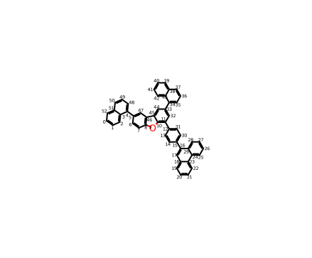 c1ccc2c(-c3ccc4oc5c(-c6ccc(-c7cc8ccccc8c8ccccc78)cc6)cc(-c6cccc7ccccc67)cc5c4c3)cccc2c1